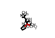 Cn1ncc(-c2cc3c(N4CC5CCC(C4)N5C(=O)OC(C)(C)C)ccnc3[nH]2)c1F